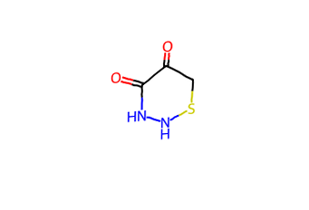 O=C1CSNNC1=O